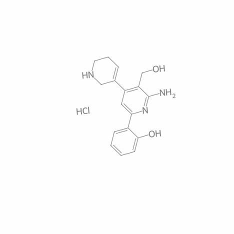 Cl.Nc1nc(-c2ccccc2O)cc(C2=CCCNC2)c1CO